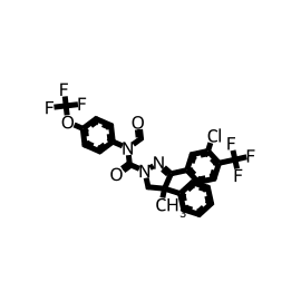 CC1(c2ccccc2)CN(C(=O)N(C=O)c2ccc(OC(F)(F)F)cc2)N=C1c1ccc(C(F)(F)F)c(Cl)c1